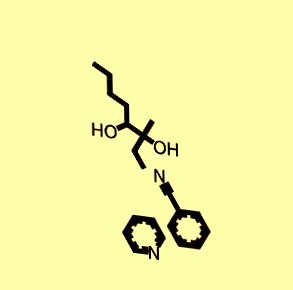 CCCCC(O)C(C)(O)CC.N#Cc1ccccc1.c1ccncc1